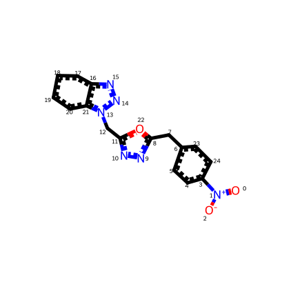 O=[N+]([O-])c1ccc(Cc2nnc(Cn3nnc4ccccc43)o2)cc1